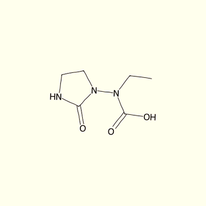 CCN(C(=O)O)N1CCNC1=O